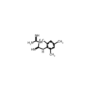 Cc1cc(C)c(NC(=N)NC(=N)N)c(C(F)(F)F)c1